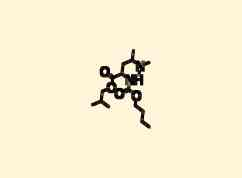 CCCCOC(=O)NC(CC(C)N(C)C)C(=O)OCC(C)C